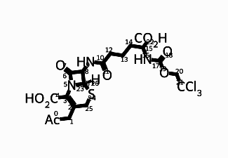 CC(=O)CC1=C(C(=O)O)N2C(=O)C(NC(=O)CCCC(NC(=O)OCC(Cl)(Cl)Cl)C(=O)O)[C@@H]2SC1